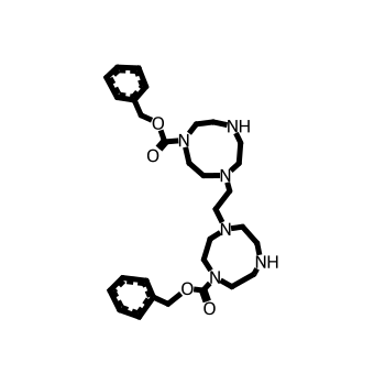 O=C(OCc1ccccc1)N1CCNCCN(CCN2CCNCCN(C(=O)OCc3ccccc3)CC2)CC1